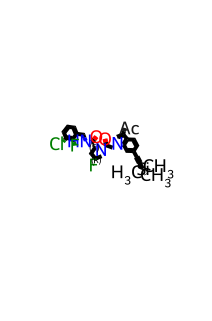 CC(=O)c1cn(CC(=O)N2C[C@H](F)C[C@H]2C(=O)NCc2cccc(Cl)c2F)c2cc(C#C[Si](C)(C)C)ccc12